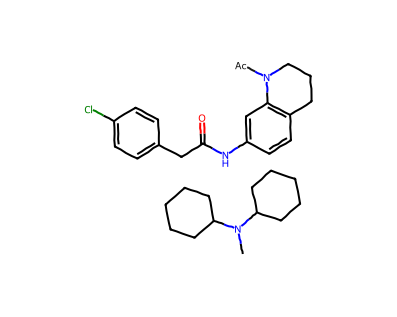 CC(=O)N1CCCc2ccc(NC(=O)Cc3ccc(Cl)cc3)cc21.CN(C1CCCCC1)C1CCCCC1